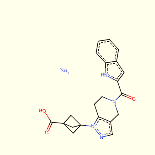 N.O=C(c1cc2ccccc2[nH]1)N1CCc2c(cnn2C23CC(C(=O)O)(C2)C3)C1